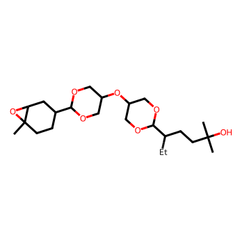 CCC(CCC(C)(C)O)C1OCC(OC2COC(C3CCC4(C)OC4C3)OC2)CO1